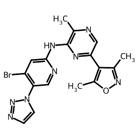 Cc1ncc(-c2c(C)noc2C)nc1Nc1cc(Br)c(-n2ccnn2)cn1